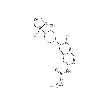 C[C@@]1(N2CCC(c3cc4cc(NC(=O)[C@H]5C[C@@H]5F)ncc4cc3Cl)CC2)COC[C@@H]1O